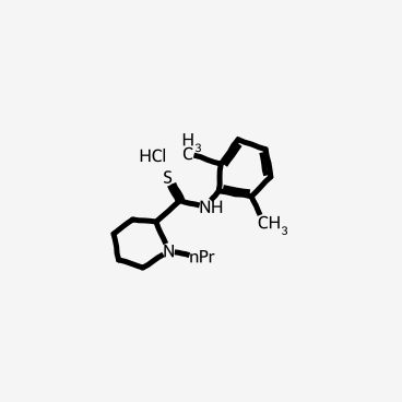 CCCN1CCCCC1C(=S)Nc1c(C)cccc1C.Cl